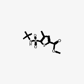 COC(=O)c1cc(C)c(S(=O)(=O)NC(C)(C)C)s1